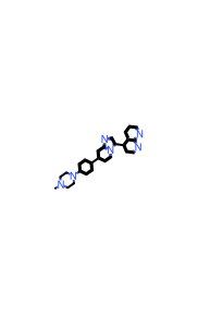 CN1CCN(c2ccc(-c3ccn4c(-c5ccnc6ncccc56)cnc4c3)cc2)CC1